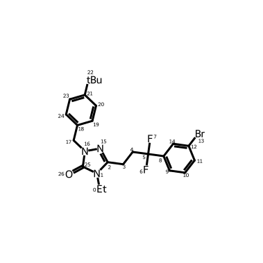 CCn1c(CCC(F)(F)c2cccc(Br)c2)nn(Cc2ccc(C(C)(C)C)cc2)c1=O